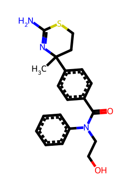 CC1(c2ccc(C(=O)N(CCO)c3ccccc3)cc2)CCSC(N)=N1